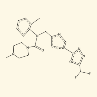 Cc1ccccc1N(Cc1ccc(-c2nnc(C(F)F)o2)cn1)C(=O)N1CCN(C)CC1